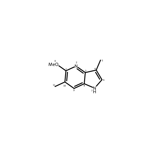 COc1nc2c(C)c[nH]c2cc1C